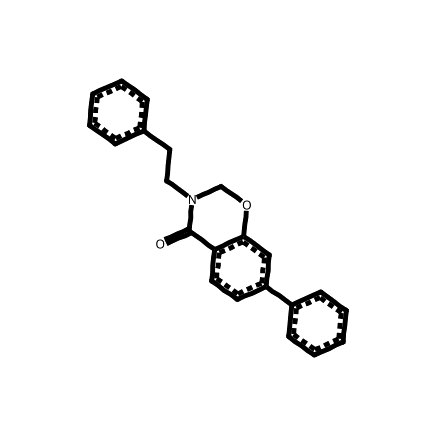 O=C1c2ccc(-c3ccccc3)cc2OCN1CCc1ccccc1